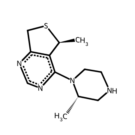 C[C@@H]1SCc2ncnc(N3CCNC[C@@H]3C)c21